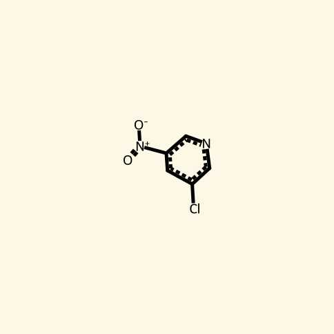 O=[N+]([O-])c1cncc(Cl)c1